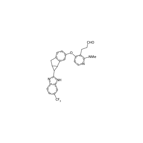 CNc1nccc(Oc2ccc3c(c2)C2C(C3)C2c2nc3ccc(C(F)(F)F)cc3[nH]2)c1CCC=O